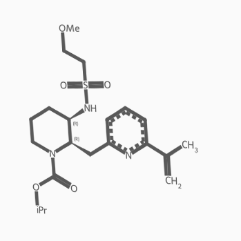 C=C(C)c1cccc(C[C@@H]2[C@H](NS(=O)(=O)CCOC)CCCN2C(=O)OC(C)C)n1